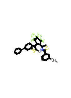 Cc1cccc(-c2nc(C3=C(c4c(C)sc5cc(-c6ccccc6)ccc45)C(F)(F)C(F)(F)C3(F)F)cs2)c1